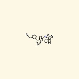 N#CCc1cccc(-c2cncc3cc(/C=C4/SC(=S)NC4=O)oc23)c1